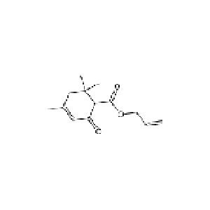 C=CCOC(=O)C1C(=O)C=C(C)CC1(C)C